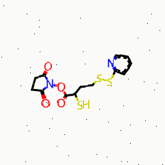 O=C(ON1C(=O)CCC1=O)C(S)CCSSc1ccccn1